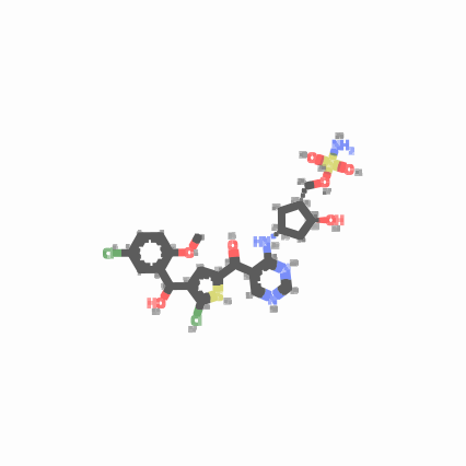 COc1ccc(Cl)cc1C(O)c1cc(C(=O)c2cncnc2N[C@@H]2C[C@H](COS(N)(=O)=O)[C@@H](O)C2)sc1Cl